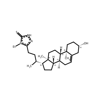 CCn1c(CCC(C)[C@H]2CC[C@H]3[C@@H]4CC=C5C[C@@H](O)CC[C@]5(C)[C@H]4CC[C@]23C)n[nH]c1=S